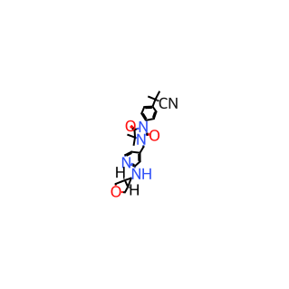 CC(C)(C#N)c1ccc(N2C(=O)N(Cc3ccnc(NC4[C@H]5COC[C@@H]45)c3)C(C)(C)C2=O)cc1